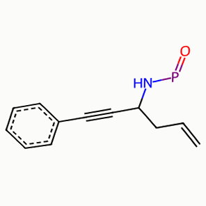 C=CCC(C#Cc1ccccc1)NP=O